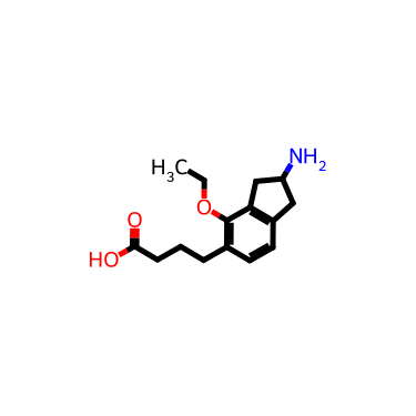 CCOc1c(CCCC(=O)O)ccc2c1CC(N)C2